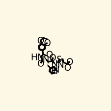 COC(=O)c1csc(NC(=O)[C@H](Cc2cccnc2)N2C(=O)NC(c3ccc4c(c3)OCCO4)C2=O)n1